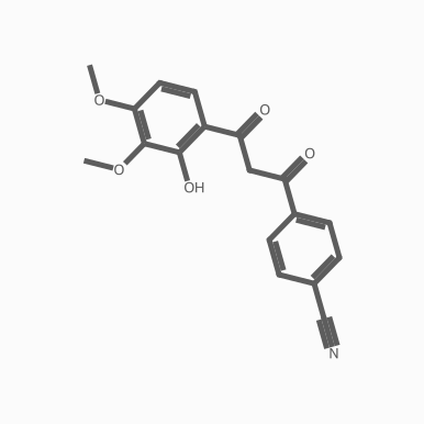 COc1ccc(C(=O)CC(=O)c2ccc(C#N)cc2)c(O)c1OC